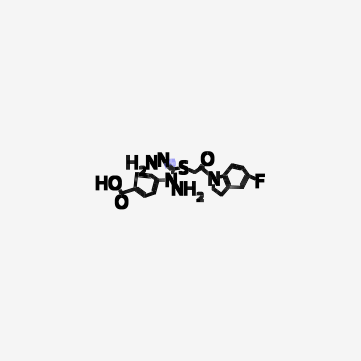 N/N=C(/SCC(=O)N1CCc2cc(F)ccc21)N(N)c1ccc(C(=O)O)cc1